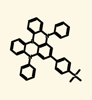 CS(C)(C)c1ccc(-c2cc3c4c(c2)N(c2ccccc2)c2ccccc2B4c2ccccc2N3c2ccccc2)cc1